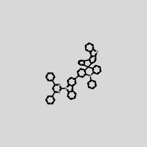 c1ccc(-c2cc(-c3ccccc3)nc(-n3c4ccccc4c4cc(-c5ccc6c(c5)N(c5ccccc5)c5ccccc5C65c6ccccc6-c6c5ccc5oc7ccccc7c65)ccc43)n2)cc1